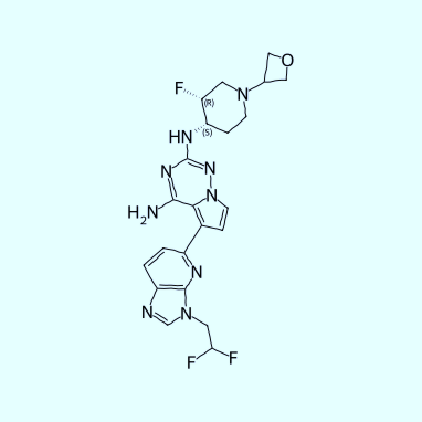 Nc1nc(N[C@H]2CCN(C3COC3)C[C@H]2F)nn2ccc(-c3ccc4ncn(CC(F)F)c4n3)c12